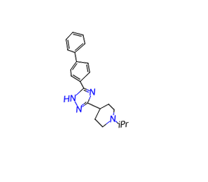 CC(C)N1CCC(c2n[nH]c(-c3ccc(-c4ccccc4)cc3)n2)CC1